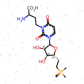 C=P(C)(C)CC[C@H]1OC(n2ccc(=O)n(CCC(N)C(=O)O)c2=O)[C@H](O)[C@@H]1O